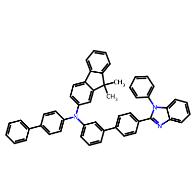 CC1(C)c2ccccc2-c2ccc(N(c3ccc(-c4ccccc4)cc3)c3cccc(-c4ccc(-c5nc6ccccc6n5-c5ccccc5)cc4)c3)cc21